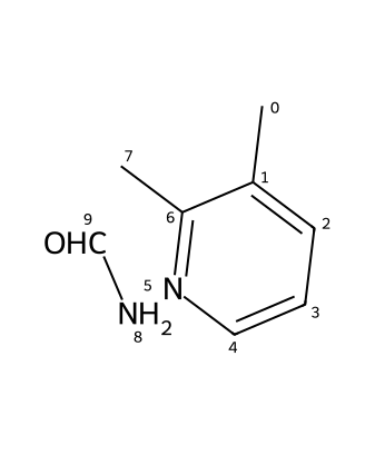 Cc1cccnc1C.NC=O